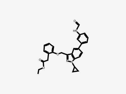 CCOC(=O)Cc1ccccc1OCc1nn(C2CC2)c2ccc(-c3cccc(NC=O)c3)cc12